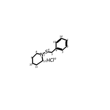 Cl.c1ccc(CSN2CCCCC2)cc1